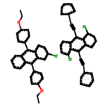 CCOc1ccc(-c2c3ccccc3c(-c3ccc(OCC)cc3)c3cc(Cl)ccc23)cc1.Clc1cccc2c(C#Cc3ccccc3)c3c(Cl)cccc3c(C#Cc3ccccc3)c12